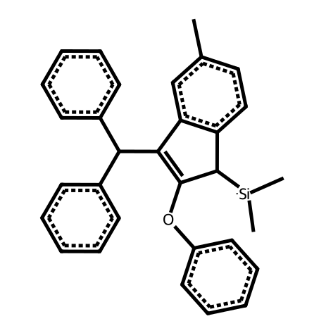 Cc1ccc2c(c1)C(C(c1ccccc1)c1ccccc1)=C(Oc1ccccc1)C2[Si](C)C